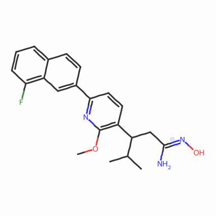 COc1nc(-c2ccc3cccc(F)c3c2)ccc1C(C/C(N)=N/O)C(C)C